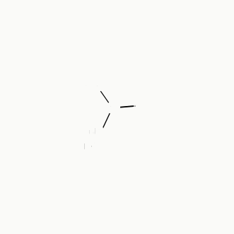 CCC[S+](CCC)CCC.[OH-]